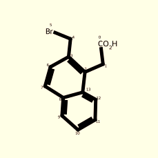 O=C(O)Cc1c(CBr)ccc2ccccc12